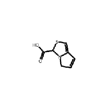 O=C(O)C1SC=C2C=CCN21